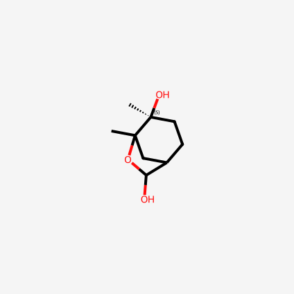 CC12CC(CC[C@]1(C)O)C(O)O2